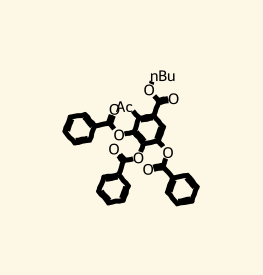 CCCCOC(=O)c1cc(OC(=O)c2ccccc2)c(OC(=O)c2ccccc2)c(OC(=O)c2ccccc2)c1C(C)=O